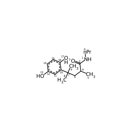 CCCNC(=O)C(C)CC(C)(C)c1cc(O)ccc1O